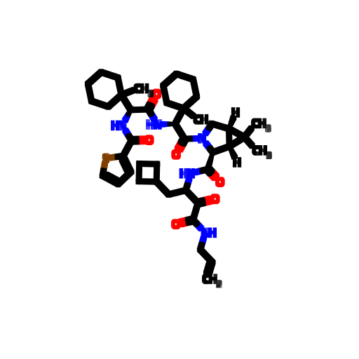 C=CCNC(=O)C(=O)C(CC1CCC1)NC(=O)[C@@H]1[C@@H]2[C@H](CN1C(=O)[C@@H](NC(=O)[C@@H](NC(=O)c1cccs1)C1(C)CCCCC1)C1(C)CCCCC1)C2(C)C